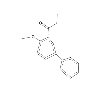 CCC(=O)c1cc(-c2ccccc2)ccc1OC